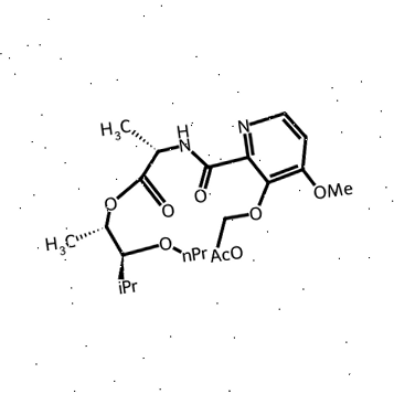 CCCO[C@@H](C(C)C)[C@H](C)OC(=O)[C@H](C)NC(=O)c1nccc(OC)c1OCOC(C)=O